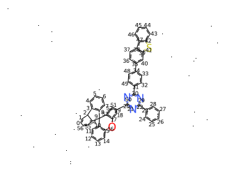 C1=CC2c3ccccc3C3(c4ccccc4Oc4cc(-c5nc(-c6ccccc6)nc(-c6ccc(-c7ccc8c(c7)sc7ccccc78)cc6)n5)ccc43)C2C=C1